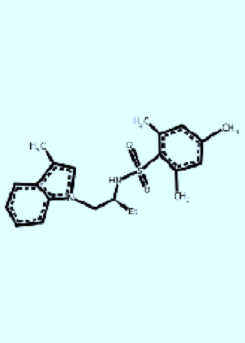 CC[C@@H](Cn1cc(C)c2ccccc21)NS(=O)(=O)c1c(C)cc(C)cc1C